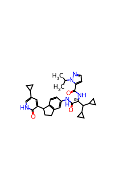 CC(C)n1nccc1C(=O)N[C@H](C(=O)Nc1ccc2c(c1)CCC2c1cc(C2CC2)c[nH]c1=O)C(C1CC1)C1CC1